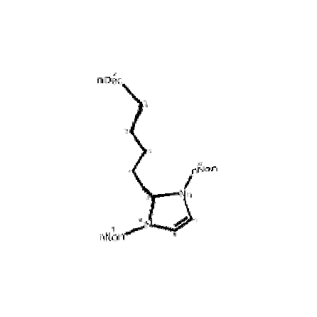 CCCCCCCCCCCCCCC1N(CCCCCCCCC)C=CN1CCCCCCCCC